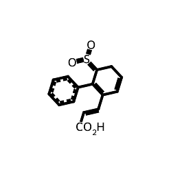 O=C(O)C=CC1=C(c2ccccc2)C(=S(=O)=O)CC=C1